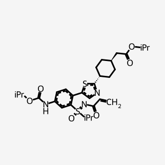 C=CC(=O)N=S(=O)(c1cc(NC(=O)OC(C)C)ccc1-c1cnc([C@H]2CC[C@H](CC(=O)OC(C)C)CC2)s1)C(C)C